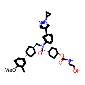 COc1ccc([C@H]2CC[C@H](CN(c3cccc(-c4cnn(C5CC5)c4)c3)C(=O)[C@H]3CC[C@H](OC(=O)NCCO)CC3)CC2)cc1C